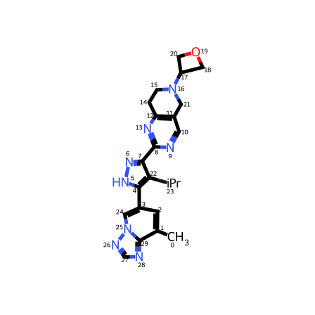 Cc1cc(-c2[nH]nc(-c3ncc4c(n3)CCN(C3COC3)C4)c2C(C)C)cn2ncnc12